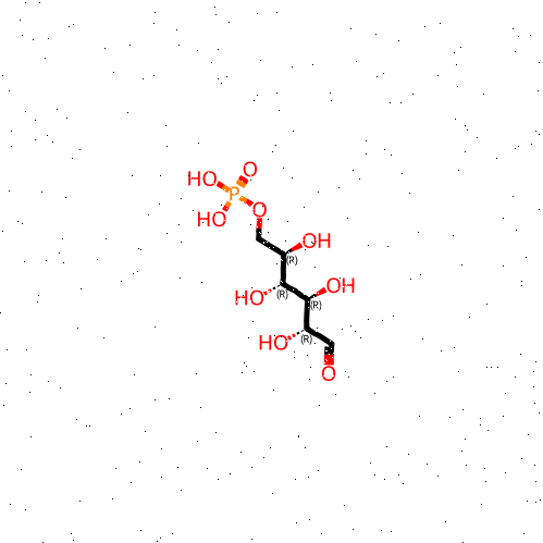 O=C[C@H](O)[C@H](O)[C@H](O)[C@H](O)COP(=O)(O)O